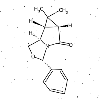 CC1(C)[C@@H]2[C@H]1C(=O)N1[C@H](c3ccccc3)OC[C@@H]21